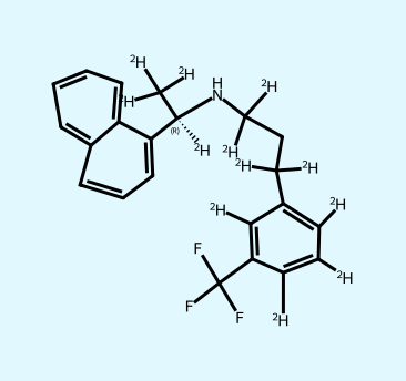 [2H]c1c([2H])c(C(F)(F)F)c([2H])c(C([2H])([2H])CC([2H])([2H])N[C@@]([2H])(c2cccc3ccccc23)C([2H])([2H])[2H])c1[2H]